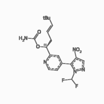 CC(C)(C)C=CC[C@H](OC(N)=O)c1cc(-c2c([N+](=O)[O-])cnn2C(F)F)ccn1